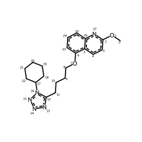 COc1ccc2c(OCCCCc3nnnn3C3CCCCC3)cccc2n1